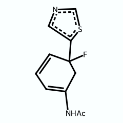 CC(=O)NC1=CC=CC(F)(c2cncs2)C1